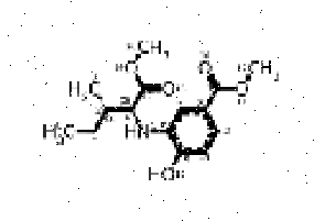 CC[C@H](C)[C@H](Nc1cc(C(=O)OC)ccc1O)C(=O)OC